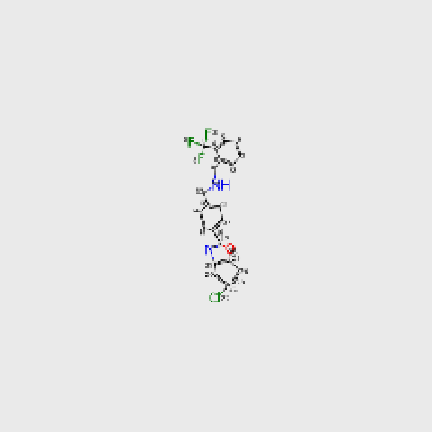 FC(F)(F)c1ccccc1CNCc1ccc(-c2nc3cc(Cl)ccc3o2)cc1